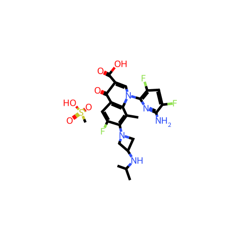 CS(=O)(=O)O.Cc1c(N2CC(NC(C)C)C2)c(F)cc2c(=O)c(C(=O)O)cn(-c3nc(N)c(F)cc3F)c12